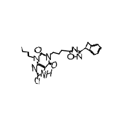 CCCCn1c(=O)n(CCCc2nc(C3Cc4ccccc43)no2)c(=O)c2[nH]c(Cl)nc21